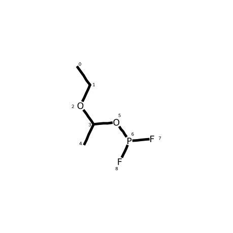 CCOC(C)OP(F)F